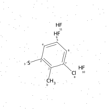 Cc1c([S])cccc1Cl.F.F.F